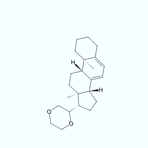 C[C@]12CC[C@H]3C(=CC=C4CCCC[C@@]43C)[C@@H]1CC[C@@H]2C1COCCO1